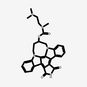 CN(C)CCN(C)C(=O)OC1CCn2c3ccccc3c3c4c(c5c6ccccc6n(c5c32)C1)C(=O)NC4=O